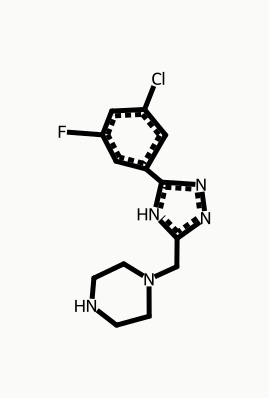 Fc1cc(Cl)cc(-c2nnc(CN3CCNCC3)[nH]2)c1